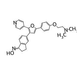 CN(C)CCOc1ccc(-c2cc(-c3ccc4c(c3)CCC4=NO)c(-c3ccncc3)o2)cc1